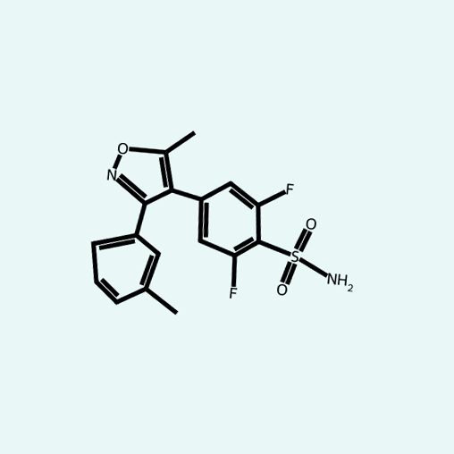 Cc1cccc(-c2noc(C)c2-c2cc(F)c(S(N)(=O)=O)c(F)c2)c1